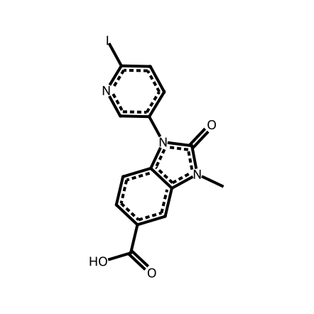 Cn1c(=O)n(-c2ccc(I)nc2)c2ccc(C(=O)O)cc21